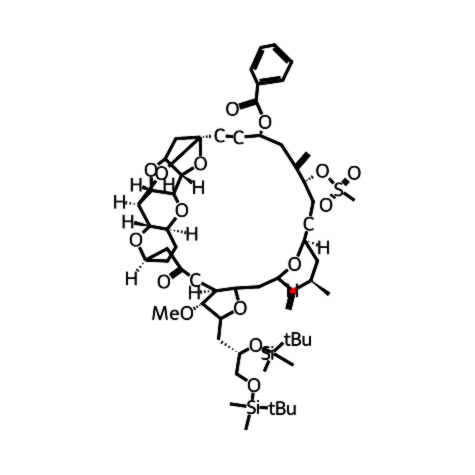 C=C1C[C@@H](OC(=O)c2ccccc2)CC[C@@]23CC4O[C@H]5[C@@H](O2)[C@H]2O[C@H](CC[C@@H]2O[C@H]5[C@H]4O3)CC(=O)C[C@H]2C(C[C@H]3O[C@@H](CC[C@H]1OS(C)(=O)=O)C[C@@H](C)C3=C)OC(C[C@@H](CO[Si](C)(C)C(C)(C)C)O[Si](C)(C)C(C)(C)C)[C@@H]2OC